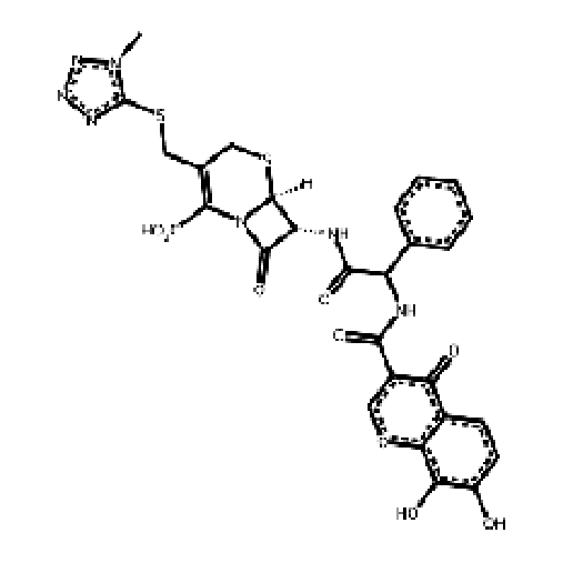 Cn1nnnc1SCC1=C(C(=O)O)N2C(=O)[C@@H](NC(=O)C(NC(=O)c3coc4c(O)c(O)ccc4c3=O)c3ccccc3)[C@@H]2SC1